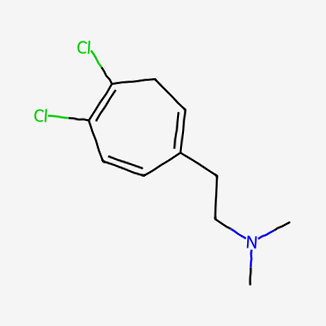 CN(C)CCC1=CCC(Cl)=C(Cl)C=C1